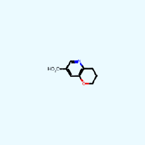 O=C(O)c1cnc2c(c1)OCCC2